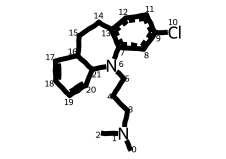 CN(C)CCCN1c2cc(Cl)ccc2CCC2C=CC=CC21